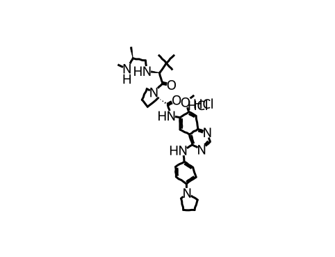 CN[C@@H](C)CN[C@H](C(=O)N1CCC[C@H]1C(=O)Nc1cc2c(Nc3ccc(N4CCCC4)cc3)ncnc2cc1OC)C(C)(C)C.Cl.Cl